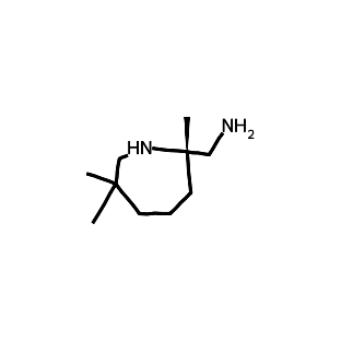 CC1(C)CCC[C@@](C)(CN)NC1